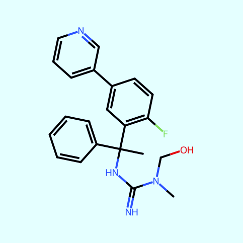 CN(CO)C(=N)NC(C)(c1ccccc1)c1cc(-c2cccnc2)ccc1F